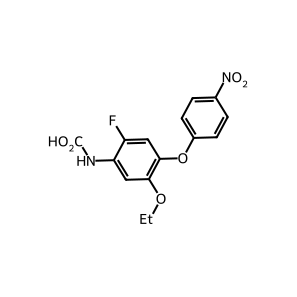 CCOc1cc(NC(=O)O)c(F)cc1Oc1ccc([N+](=O)[O-])cc1